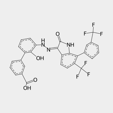 O=C1Nc2c(ccc(C(F)(F)F)c2-c2cccc(C(F)(F)F)c2)C1=NNc1cccc(-c2cccc(C(=O)O)c2)c1O